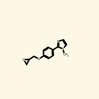 Cn1ccnc1-c1ccc(OCC2CO2)cc1